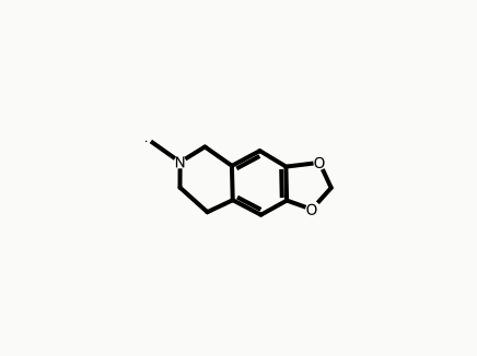 [CH2]N1CCc2cc3c(cc2C1)OCO3